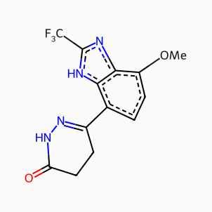 COc1ccc(C2=NNC(=O)CC2)c2[nH]c(C(F)(F)F)nc12